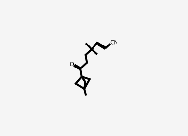 CC(C)(C=CC#N)CCC(=O)C12CC(C)(C1)C2